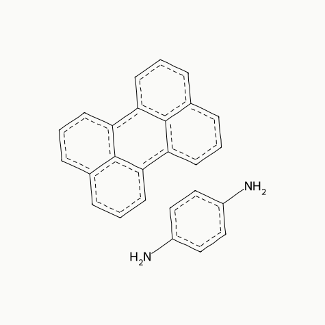 Nc1ccc(N)cc1.c1cc2cccc3c4cccc5cccc(c(c1)c23)c54